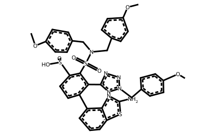 COc1ccc(CN(Cc2ccc(OC)cc2)S(=O)(=O)c2c(S(=O)O)ccc(-c3cccc4sc(N)nc34)c2-c2nnn(Cc3ccc(OC)cc3)n2)cc1